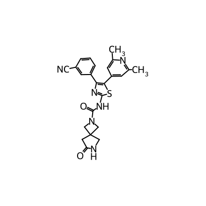 Cc1cc(-c2sc(NC(=O)N3CC4(CNC(=O)C4)C3)nc2-c2cccc(C#N)c2)cc(C)n1